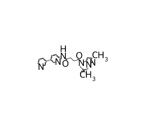 Cc1cc2n(n1)C[C@H](C)CN2C(=O)CCC(=O)Nc1ccc(-c2cccnc2)cn1